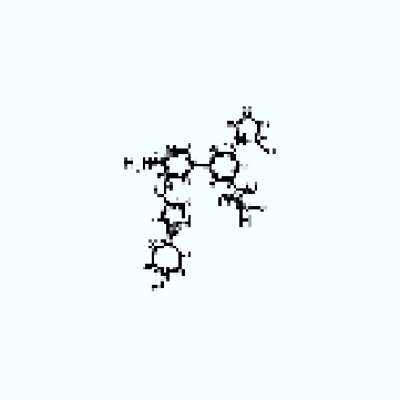 CNS(=O)(=O)c1cc(-c2cnc(N)c(Oc3cnn(C4CCN(C)CC4)c3)c2)cc(N2CCCC2C)c1